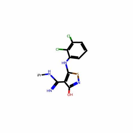 CC(C)NC(=N)c1c(O)nsc1Nc1cccc(Cl)c1Cl